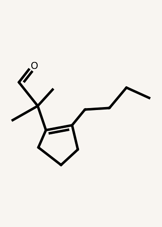 CCCCC1=C(C(C)(C)C=O)CCC1